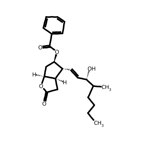 CCCCC(C)[C@@H](O)C=C[C@@H]1[C@H]2CC(=O)O[C@H]2C[C@H]1OC(=O)c1ccccc1